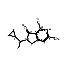 CC(C1CC1)N1Cc2cc(Cl)nc(Cl)c2C1=O